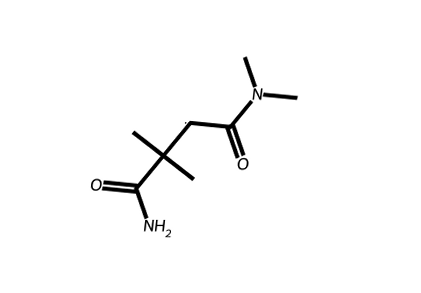 CN(C)C(=O)[CH]C(C)(C)C(N)=O